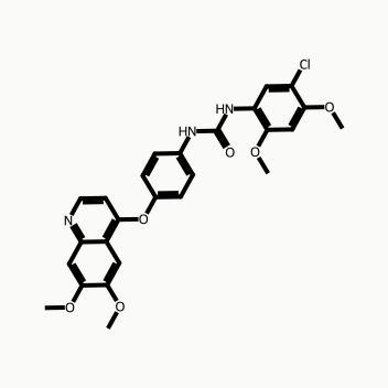 COc1cc(OC)c(NC(=O)Nc2ccc(Oc3ccnc4cc(OC)c(OC)cc34)cc2)cc1Cl